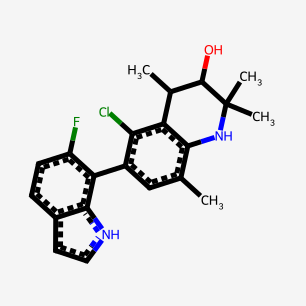 Cc1cc(-c2c(F)ccc3cc[nH]c23)c(Cl)c2c1NC(C)(C)C(O)C2C